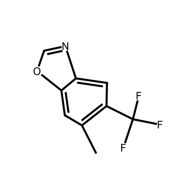 Cc1cc2ocnc2cc1C(F)(F)F